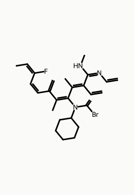 C=C\N=C(NC)/C(C=C)=C(C)/C(=C(/C)C(=C)/C=C\C(F)=C/C)N(C(=C)Br)C1CCCCC1